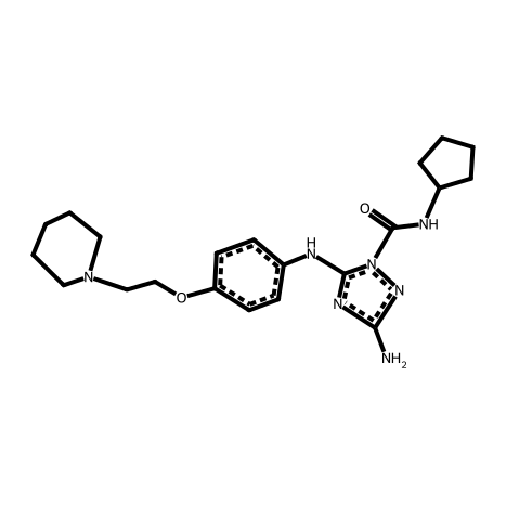 Nc1nc(Nc2ccc(OCCN3CCCCC3)cc2)n(C(=O)NC2CCCC2)n1